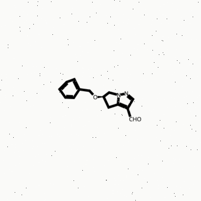 O=Cc1cnn2c1C[C@@H](OCc1ccccc1)C2